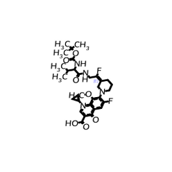 COc1c(N2CCC/C(=C(\F)CNC(=O)C(NC(=O)OC(C)(C)C)C(C)C)C2)c(F)cc2c(=O)c(C(=O)O)cn(C3CC3)c12